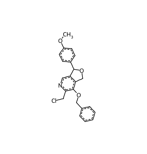 COc1ccc(C2OCc3c2cnc(CCl)c3OCc2ccccc2)cc1